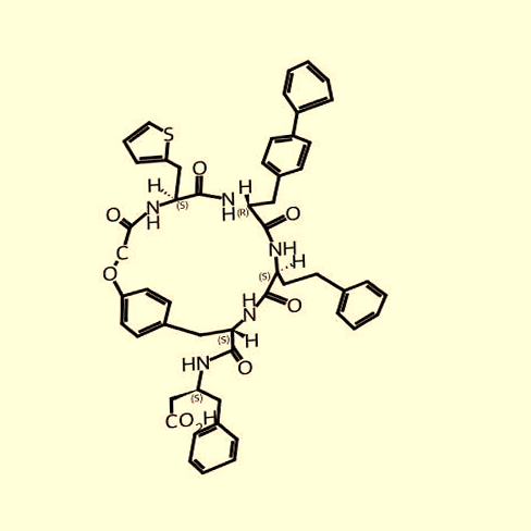 O=C(O)C[C@H](Cc1ccccc1)NC(=O)[C@@H]1Cc2ccc(cc2)OCC(=O)N[C@@H](Cc2cccs2)C(=O)N[C@H](Cc2ccc(-c3ccccc3)cc2)C(=O)N[C@@H](CCc2ccccc2)C(=O)N1